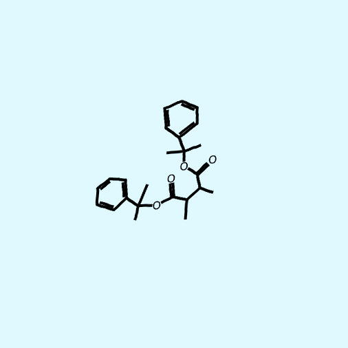 CC(C(=O)OC(C)(C)c1ccccc1)C(C)C(=O)OC(C)(C)c1ccccc1